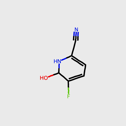 N#CC1=CC=C(F)C(O)N1